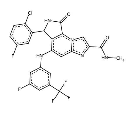 CNC(=O)c1cn2c3c(c(Nc4cc(F)cc(C(F)(F)F)c4)cc2n1)C(c1cc(F)ccc1Cl)NC3=O